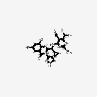 N#Cc1c(NC(c2nc3c(Cl)cc(F)cc3c(=O)n2-c2cc[nH]n2)C2CC2)nc(N)nc1C(F)F